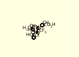 CC1(C(=O)O)CCC(n2ncc(C(=O)N(CC(C)(O)c3ccccc3Cl)[C@H]3C[C@@H]4[C@H](C3)C4(C)C)c2C(F)(F)F)CC1